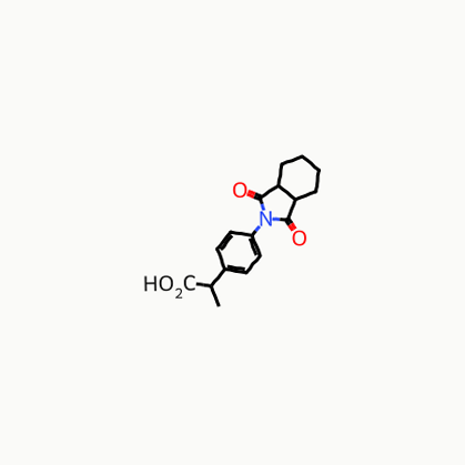 CC(C(=O)O)c1ccc(N2C(=O)C3CCCCC3C2=O)cc1